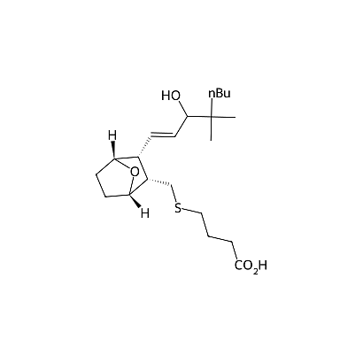 CCCCC(C)(C)C(O)/C=C/[C@@H]1[C@H](CSCCCC(=O)O)[C@@H]2CC[C@H]1O2